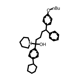 CCCCOc1ccc(C(CCCC(O)(c2ccc(C3CCCCC3)cc2)N2CCCCC2)c2ccccc2)cc1